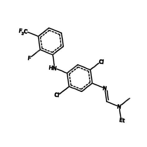 CCN(C)C=Nc1cc(Cl)c(Nc2cccc(C(F)(F)F)c2F)cc1Cl